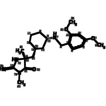 COc1ccc(CN[C@H]2CCC[C@H](C[C@@]3(C)NC(=N)N(C)C3=O)C2)c(OC)c1